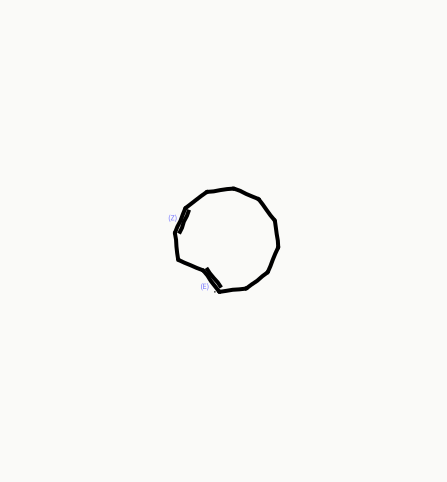 [C]1=C/C/C=C\CCCCCCC/1